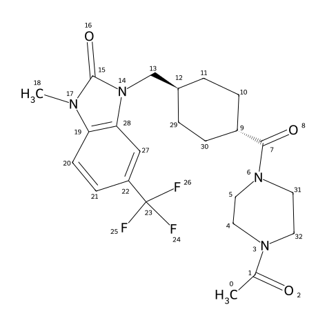 CC(=O)N1CCN(C(=O)[C@H]2CC[C@H](Cn3c(=O)n(C)c4ccc(C(F)(F)F)cc43)CC2)CC1